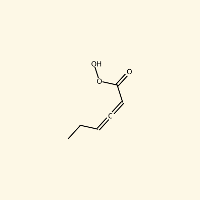 CCC=C=CC(=O)OO